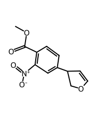 COC(=O)c1ccc(C2C=COC2)cc1[N+](=O)[O-]